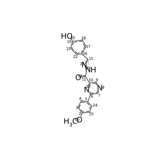 COc1ccc(-c2cncc(C(=O)N/N=C/c3ccc(O)cc3)n2)cc1